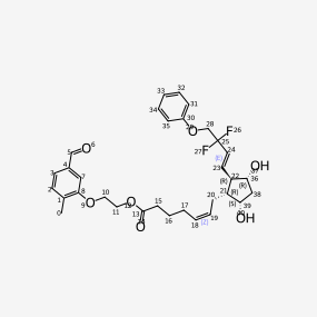 Cc1ccc(C=O)cc1OCCOC(=O)CCC/C=C\C[C@@H]1[C@@H](/C=C/C(F)(F)COc2ccccc2)[C@H](O)C[C@@H]1O